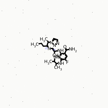 CCC/C(=N/C=C(\C)Nc1nc(NC(C)C(C)N)c(F)cc1C(N)=O)C(C)n1ccnn1